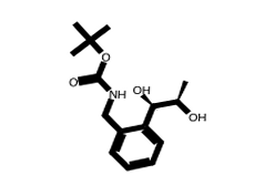 C[C@@H](O)[C@H](O)c1ccccc1CNC(=O)OC(C)(C)C